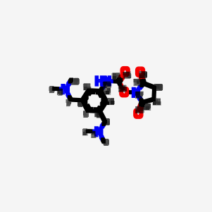 CN(C)Cc1cc(CN(C)C)cc(NC(=O)ON2C(=O)CCC2=O)c1